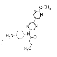 CCCC(=O)N(c1cnc(-c2cnc(OC)nc2)cn1)C1CCC(N)CC1